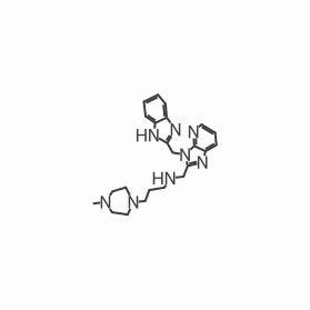 CN1CCN(CCCNCc2nc3cccnc3n2Cc2nc3ccccc3[nH]2)CC1